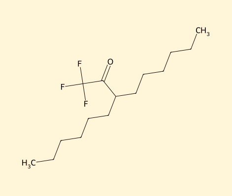 CCCCCCC(CCCCCC)C(=O)C(F)(F)F